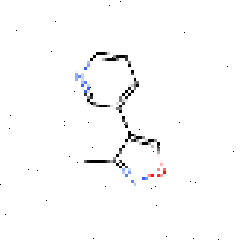 Cc1nocc1-c1cccnc1